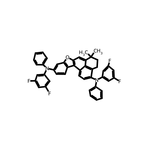 CC1(C)CCc2c(N(c3ccccc3)c3cc(F)cc(F)c3)ccc3c2c1cc1oc2cc(N(c4ccccc4)c4cc(F)cc(F)c4)ccc2c13